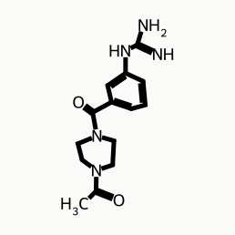 CC(=O)N1CCN(C(=O)c2cccc(NC(=N)N)c2)CC1